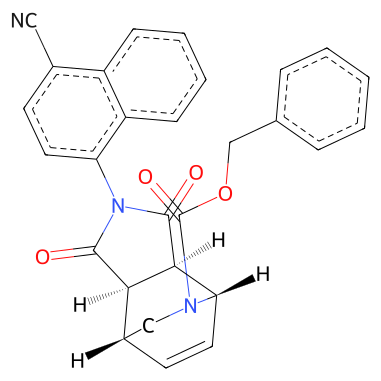 N#Cc1ccc(N2C(=O)[C@@H]3[C@H](C2=O)[C@H]2C=C[C@@H]3N(C(=O)OCc3ccccc3)C2)c2ccccc12